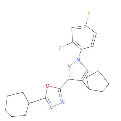 Fc1ccc(-n2nc(-c3nnc(C4CCCCC4)o3)c3c2C2CCC3C2)c(F)c1